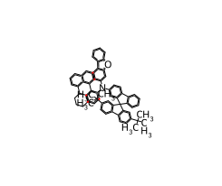 CC(C)(C)c1ccc2c(c1)C1(c3ccccc3-c3ccc(N(c4ccc5c(c4)oc4ccccc45)c4ccccc4-c4cccc5cccc(C6CCCCC6)c45)cc31)c1cc(C(C)(C)C)ccc1-2